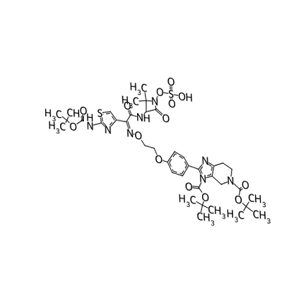 CC(C)(C)OC(=O)Nc1nc(C(=NOCCOc2ccc(-c3nc4c(n3C(=O)OC(C)(C)C)CN(C(=O)OC(C)(C)C)CC4)cc2)C(=O)NC2C(=O)N(OS(=O)(=O)O)C2(C)C)cs1